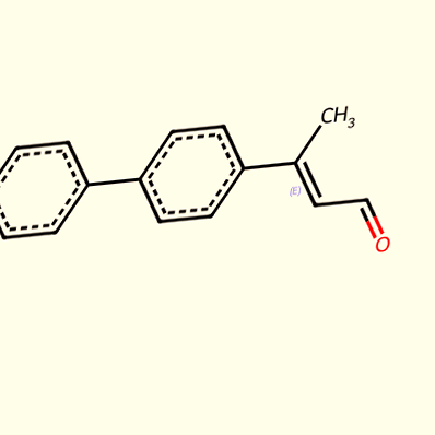 C/C(=C\C=O)c1ccc(-c2ccccc2)cc1